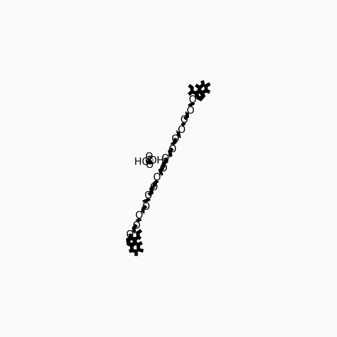 CCC(C)c1ccc(OCCOCCOCCOCCOCCOCCOCCOCCOCCOCCOCCOCCOCCOCCOc2ccc(C(C)CC)c(C(C)CC)c2C(C)CC)c(C(C)CC)c1C(C)CC.O=S(=O)(O)O